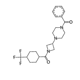 O=C(c1ccccc1)N1CCN(C2CN(C(=O)C3CCC(C(F)(F)F)CC3)C2)CC1